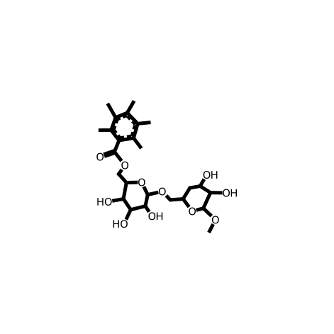 COC1OC(COC2OC(COC(=O)c3c(C)c(C)c(C)c(C)c3C)C(O)C(O)C2O)CC(O)C1O